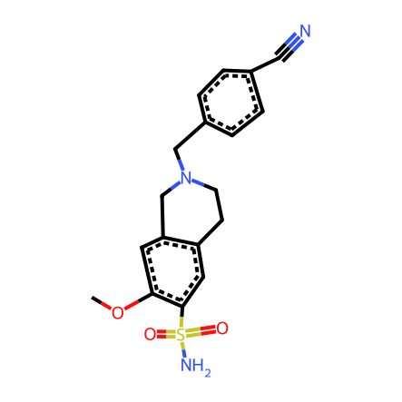 COc1cc2c(cc1S(N)(=O)=O)CCN(Cc1ccc(C#N)cc1)C2